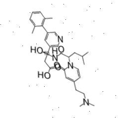 Cc1cccc(C)c1-c1cncc([C@@](O)(CC(=O)O)NC(=O)C(CC(C)C)n2ccc(CCN(C)C)cc2=O)c1